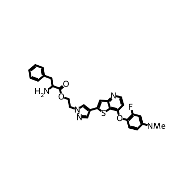 CNc1ccc(Oc2ccnc3cc(-c4cnn(CCOC(=O)C(N)Cc5ccccc5)c4)sc23)c(F)c1